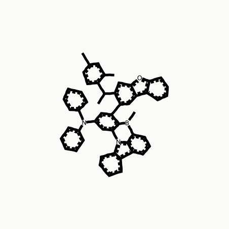 CB1c2c(-c3cc4c(cc3C(C)c3ccc(C)cc3C)oc3ccccc34)cc(N(c3ccccc3)c3ccccc3)cc2-n2c3ccccc3c3cccc1c32